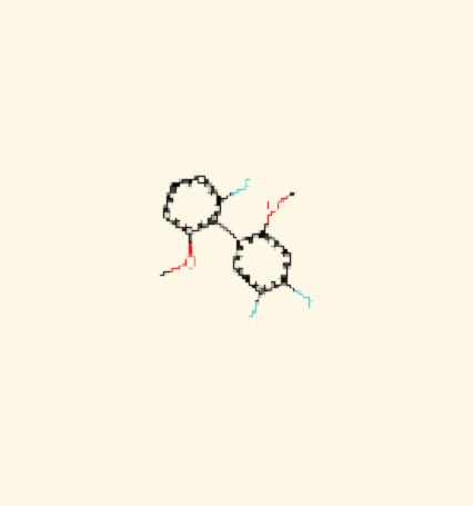 COc1[c]ccc(F)c1-c1cc(F)c(F)cc1OC